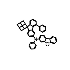 c1ccc(-c2cccc3c2-c2cc(N(c4ccccc4)c4ccc5c(c4)oc4ccccc45)ccc2C32C3CC4CC5CC2C453)cc1